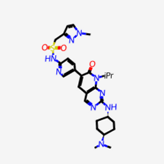 CC(C)n1c(=O)c(-c2ccc(NS(=O)(=O)Cc3ccn(C)n3)nc2)cc2cnc(N[C@H]3CC[C@H](N(C)C)CC3)nc21